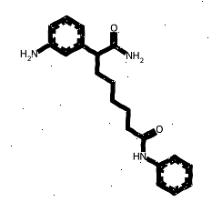 NC(=O)C(CCCCCC(=O)Nc1ccccc1)c1cccc(N)c1